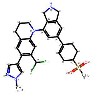 Cn1cc(-c2cc3c(cc2C(F)F)N(c2cc(C4=CCC(S(C)(=O)=O)CC4)cc4c2CNC4)CCC3)cn1